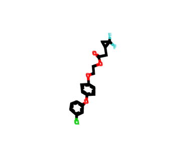 O=C(CC1CC1(F)F)OCCOc1ccc(Oc2cccc(Cl)c2)cc1